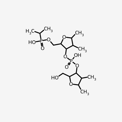 CC1OC(CO)C(OP(=O)(O)OC2C(COP(=O)(O)C(C)C)OC(C)C2C)C1C